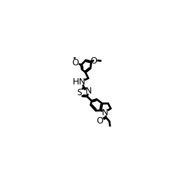 CCC(=O)N1CCc2cc(-c3csc(NCc4cc(OC)cc(OC)c4)n3)ccc21